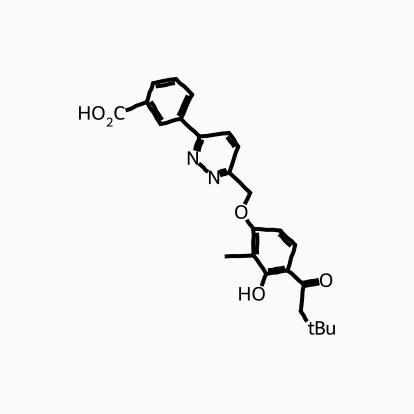 Cc1c(OCc2ccc(-c3cccc(C(=O)O)c3)nn2)ccc(C(=O)CC(C)(C)C)c1O